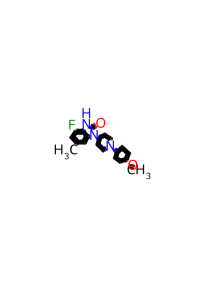 COC1CCC(N2CCC(n3c(=O)[nH]c4c(F)cc(C)cc43)CC2)CC1